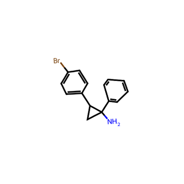 NC1(c2ccccc2)CC1c1ccc(Br)cc1